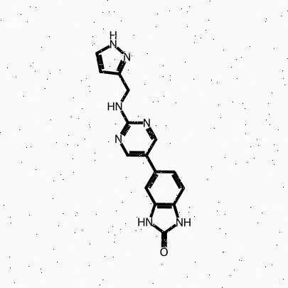 O=c1[nH]c2ccc(-c3cnc(NCc4cc[nH]n4)nc3)cc2[nH]1